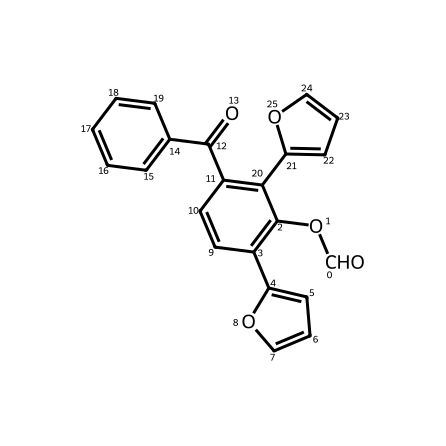 O=COc1c(-c2ccco2)ccc(C(=O)c2ccccc2)c1-c1ccco1